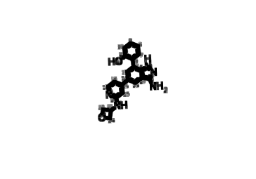 Nc1n[nH]c2c(-c3ccccc3O)cc(-c3ccnc(NC4COC4)c3)cc12